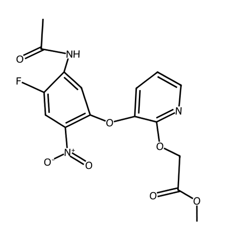 COC(=O)COc1ncccc1Oc1cc(NC(C)=O)c(F)cc1[N+](=O)[O-]